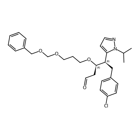 CC(C)n1nccc1[C@@H](Cc1ccc(Cl)cc1)[C@@H](CC=O)OCCCOCOCc1ccccc1